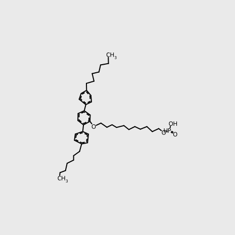 CCCCCCCc1ccc(-c2ccc(-c3ccc(CCCCCCC)cc3)c(OCCCCCCCCCCCO[PH](=O)O)c2)cc1